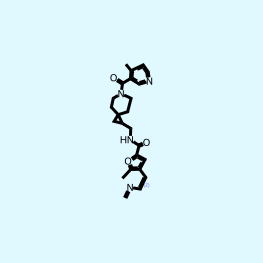 C=N/C=C\c1cc(C(=O)NCC2CC23CCN(C(=O)c2cnccc2C)CC3)oc1C